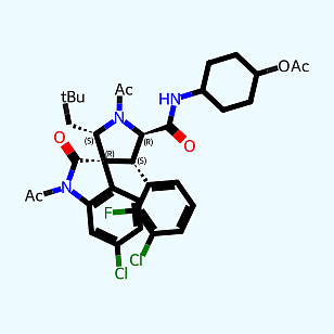 CC(=O)OC1CCC(NC(=O)[C@H]2[C@H](c3cccc(Cl)c3F)[C@]3(C(=O)N(C(C)=O)c4cc(Cl)ccc43)[C@H](CC(C)(C)C)N2C(C)=O)CC1